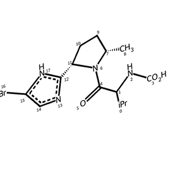 CC(C)C(NC(=O)O)C(=O)N1[C@@H](C)CC[C@H]1c1ncc(Br)[nH]1